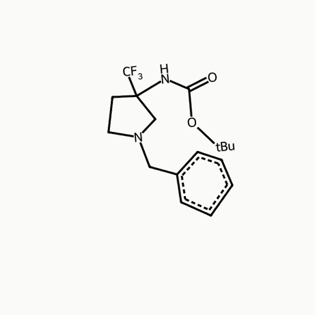 CC(C)(C)OC(=O)NC1(C(F)(F)F)CCN(Cc2ccccc2)C1